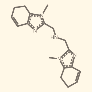 Cn1c(CNCc2nc3c(n2C)CCC=C3)nc2c1CCC=C2